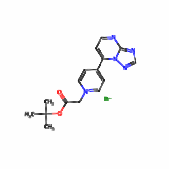 CC(C)(C)OC(=O)C[n+]1ccc(-c2ccnc3ncnn23)cc1.[Br-]